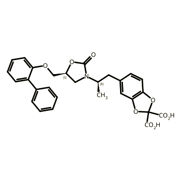 C[C@H](Cc1ccc2c(c1)OC(C(=O)O)(C(=O)O)O2)N1C[C@@H](COc2ccccc2-c2ccccc2)OC1=O